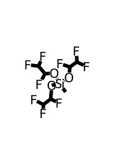 C[Si](OC(F)C(F)F)(OC(F)C(F)F)OC(F)C(F)F